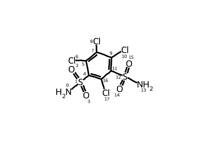 NS(=O)(=O)c1c(Cl)c(Cl)c(Cl)c(S(N)(=O)=O)c1Cl